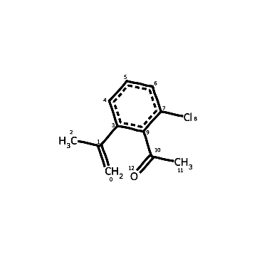 C=C(C)c1cccc(Cl)c1C(C)=O